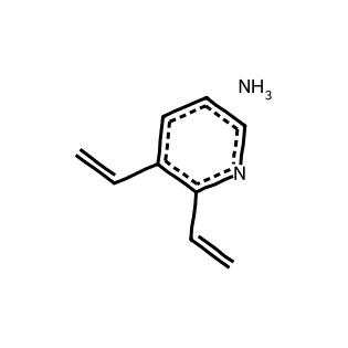 C=Cc1cccnc1C=C.N